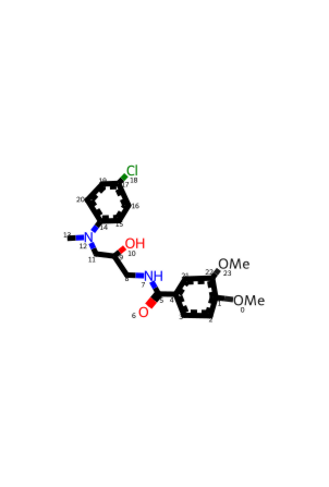 COc1ccc(C(=O)NCC(O)CN(C)c2ccc(Cl)cc2)cc1OC